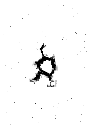 CCc1ccc(Cl)c(C)c1